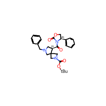 CC(C)(C)OC(=O)N1CC2(CN(Cc3ccccc3)C[C@H]2C(=O)N2C(=O)OC[C@H]2c2ccccc2)C1